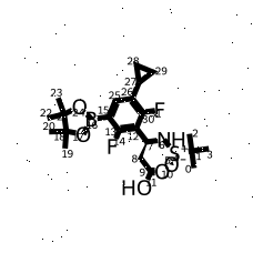 CC(C)(C)[S@@+]([O-])N[C@@H](CC(=O)O)c1c(F)c(B2OC(C)(C)C(C)(C)O2)cc(C2CC2)c1F